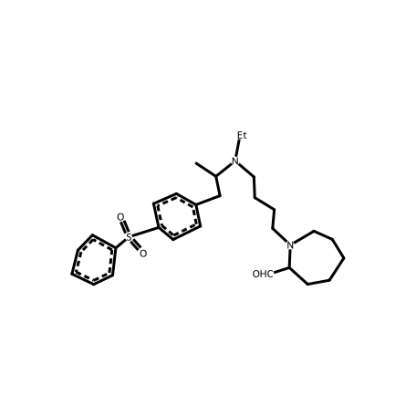 CCN(CCCCN1CCCCCC1C=O)C(C)Cc1ccc(S(=O)(=O)c2ccccc2)cc1